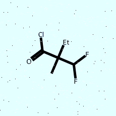 CCC(C)(C(=O)Cl)C(F)F